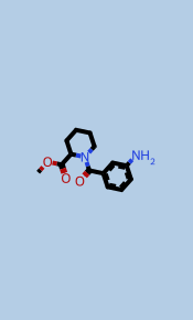 COC(=O)C1CCCCN1C(=O)c1cccc(N)c1